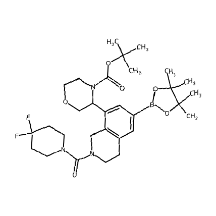 CC(C)(C)OC(=O)N1CCOCC1c1cc(B2OC(C)(C)C(C)(C)O2)cc2c1CN(C(=O)N1CCC(F)(F)CC1)CC2